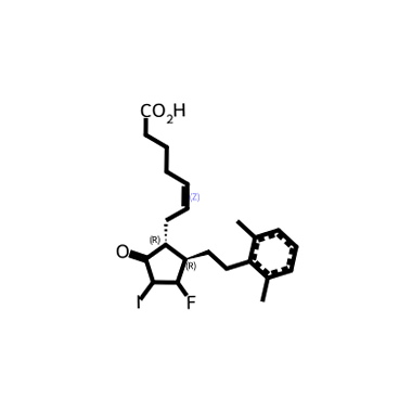 Cc1cccc(C)c1CC[C@H]1C(F)C(I)C(=O)[C@@H]1C/C=C\CCCC(=O)O